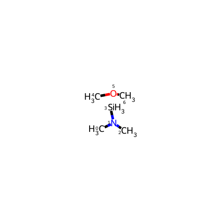 CN(C)[SiH3].COC